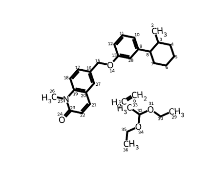 C=C.CC1CCCCC1c1cccc(OCc2ccc3c(ccc(=O)n3C)c2)c1.CCOC(C)OCC